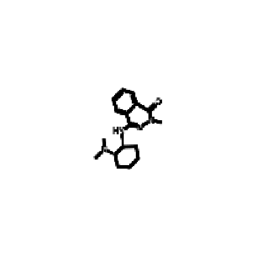 CN(C)[C@@H]1CCCC[C@@H]1Nc1nn(C)c(=O)c2ccccc12